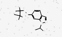 CC(C)n1ncc2ccc(B3OC(C)(C)C(C)(C)O3)cc21